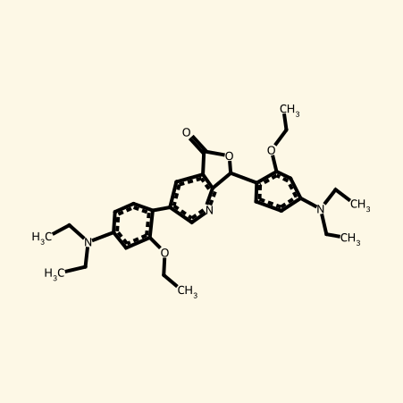 CCOc1cc(N(CC)CC)ccc1-c1cnc2c(c1)C(=O)OC2c1ccc(N(CC)CC)cc1OCC